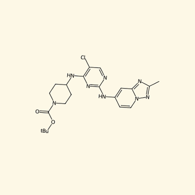 Cc1nc2cc(Nc3ncc(Cl)c(NC4CCN(C(=O)OC(C)(C)C)CC4)n3)ccn2n1